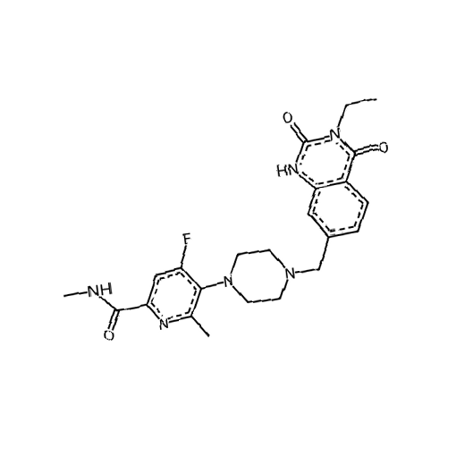 CCn1c(=O)[nH]c2cc(CN3CCN(c4c(F)cc(C(=O)NC)nc4C)CC3)ccc2c1=O